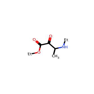 CCNC(C)C(=O)C(=O)OCC